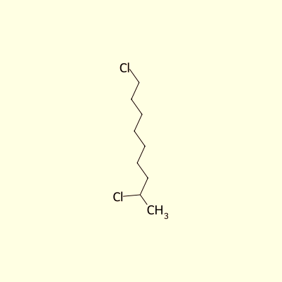 CC(Cl)CCCCCCCCl